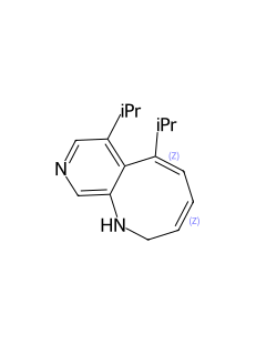 CC(C)/C1=C/C=C\CNc2cncc(C(C)C)c21